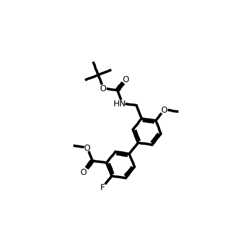 COC(=O)c1cc(-c2ccc(OC)c(CNC(=O)OC(C)(C)C)c2)ccc1F